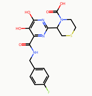 O=C(NCc1ccc(F)cc1)c1nc(C2CSCCN2C(=O)O)nc(O)c1O